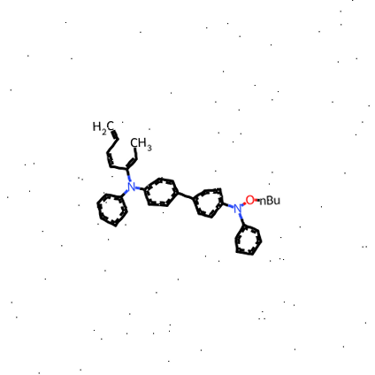 C=C/C=C\C(=C/C)N(c1ccccc1)c1ccc(-c2ccc(N(OCCCC)c3ccccc3)cc2)cc1